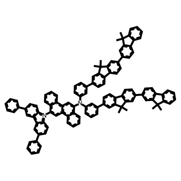 CC1(C)c2ccccc2-c2ccc(-c3ccc4c(c3)C(C)(C)c3cc(-c5cccc(N(c6cccc(-c7ccc8c(c7)C(C)(C)c7cc(-c9ccc%10c(c9)C(C)(C)c9ccccc9-%10)ccc7-8)c6)c6cc7c8ccccc8c(-n8c9ccc(-c%10ccccc%10)cc9c9cc(-c%10ccccc%10)ccc98)cc7c7ccccc67)c5)ccc3-4)cc21